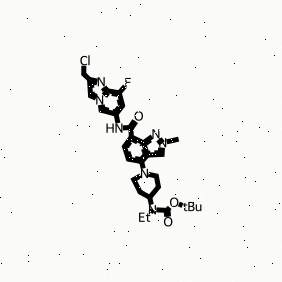 CCN(C(=O)OC(C)(C)C)C1CCN(c2ccc(C(=O)Nc3cc(F)c4nc(CCl)cn4c3)c3nn(C)cc23)CC1